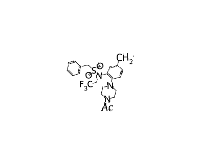 [CH2]c1ccc(N2CCN(C(C)=O)CC2)c(N(CC(F)(F)F)S(=O)(=O)Cc2ccccc2)c1